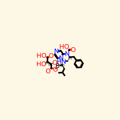 CC(C)C[C@H](NC[C@@H](Cc1ccccc1)N(C(=O)O)c1cnccn1)B1OC(=O)[C@@H]([C@@H](O)C(=O)O)O1